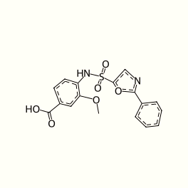 COc1cc(C(=O)O)ccc1NS(=O)(=O)c1cnc(-c2ccccc2)o1